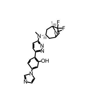 CN(c1ccc(-c2ccc(-n3ccnc3)cc2O)nn1)[C@H]1CC2CC(F)(F)[C@](C)(C1)N2C